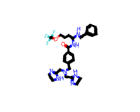 O=C(NC(CCCOC(F)(F)F)NCc1ccccc1)c1ccc(CN(Cc2ncc[nH]2)Cc2ncc[nH]2)cc1